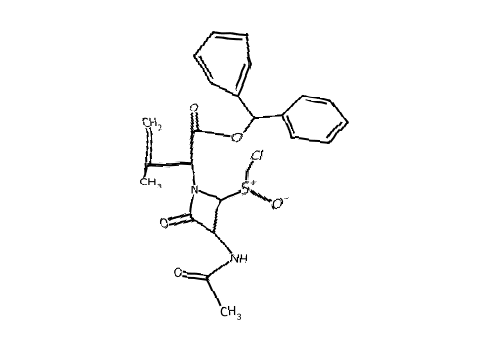 C=C(C)C(C(=O)OC(c1ccccc1)c1ccccc1)N1C(=O)C(NC(C)=O)C1[S+]([O-])Cl